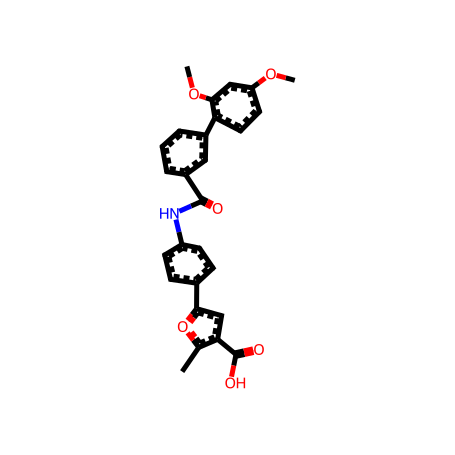 COc1ccc(-c2cccc(C(=O)Nc3ccc(-c4cc(C(=O)O)c(C)o4)cc3)c2)c(OC)c1